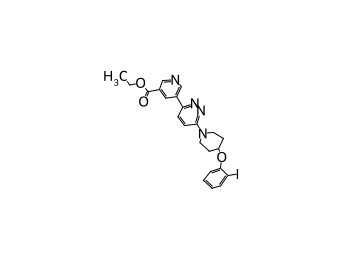 CCOC(=O)c1cncc(-c2ccc(N3CCC(Oc4ccccc4I)CC3)nn2)c1